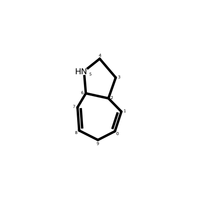 C1=CC2CCNC2C=CC1